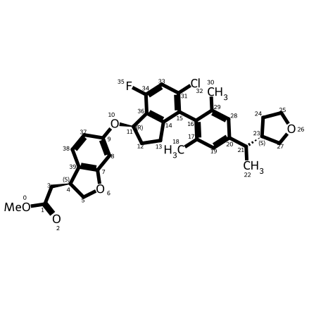 COC(=O)C[C@@H]1COc2cc(O[C@@H]3CCc4c(-c5c(C)cc(C(C)[C@@H]6CCOC6)cc5C)c(Cl)cc(F)c43)ccc21